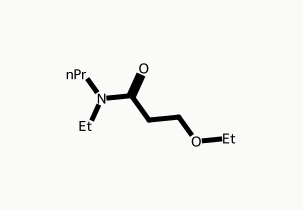 CCCN(CC)C(=O)CCOCC